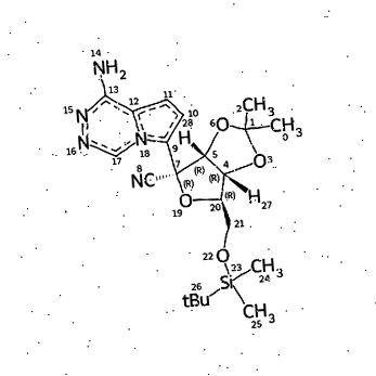 CC1(C)O[C@H]2[C@@H](O1)[C@](C#N)(c1ccc3c(N)nncn13)O[C@@H]2CO[Si](C)(C)C(C)(C)C